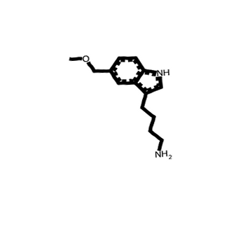 COCc1ccc2[nH]cc(CCCCN)c2c1